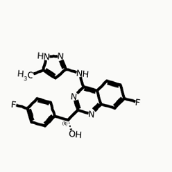 Cc1cc(Nc2nc([C@H](O)c3ccc(F)cc3)nc3cc(F)ccc23)n[nH]1